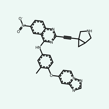 Cc1cc(Nc2nc(C#CC34CNCC3C4)nc3ccc([N+](=O)[O-])cc23)ccc1Oc1ccn2ncnc2c1